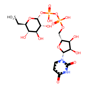 O=c1ccn([C@@H]2O[C@H](COP(=O)(O)OP(=O)(O)O[C@H]3O[C@H](CS(=O)(=O)O)[C@@H](O)[C@H](O)[C@H]3O)[C@@H](O)[C@H]2O)c(=O)[nH]1